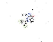 Cn1nnc(C(=O)c2ccccc2)c1-n1cnc(-c2cc(C(F)(F)F)cc(C(F)(F)F)c2)n1